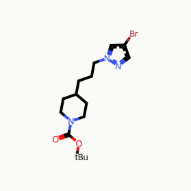 CC(C)(C)OC(=O)N1CCC(CCCn2cc(Br)cn2)CC1